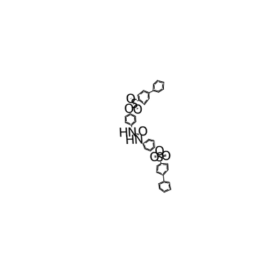 O=C(Nc1ccc(OS(=O)(=O)c2ccc(-c3ccccc3)cc2)cc1)Nc1ccc(OS(=O)(=O)c2ccc(-c3ccccc3)cc2)cc1